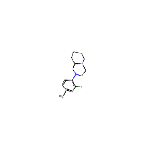 Cc1ccc(N2CCN3CCCCC3C2)c(F)c1